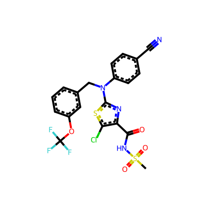 CS(=O)(=O)NC(=O)c1nc(N(Cc2cccc(OC(F)(F)F)c2)c2ccc(C#N)cc2)sc1Cl